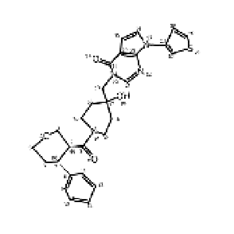 O=C([C@@H]1CCCC[C@H]1c1ccccc1)N1CCC(O)(Cn2cnc3c(ccn3-c3ccsc3)c2=O)CC1